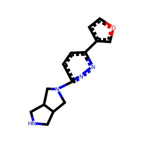 c1cc(-c2ccc(N3CC4CNCC4C3)nn2)co1